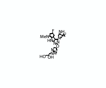 CNc1cc(F)cc2c1[nH]c1nc(Oc3cnc(NCC(O)CO)nc3)nc(N3C[C@H](N)C4(CC4)C3)c12